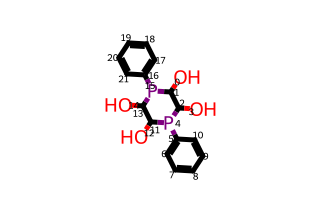 OC1C(O)P(c2ccccc2)C(O)C(O)P1c1ccccc1